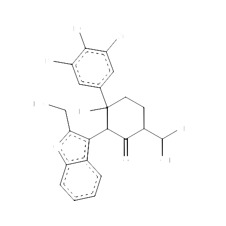 CCc1oc2ccccc2c1C1C(=O)C(C(C)C)CCC1(C)c1cc(Br)c(O)c(Br)c1